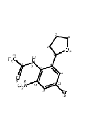 O=C(Nc1c(C2CCCO2)cc(Br)cc1[N+](=O)[O-])C(F)(F)F